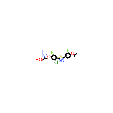 CC(C)Oc1ccc(-c2nnc(-c3cc(F)c(OC[C@H](N)CO)cc3Cl)s2)cc1F